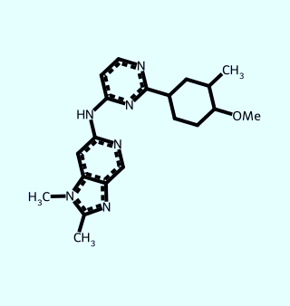 COC1CCC(c2nccc(Nc3cc4c(cn3)nc(C)n4C)n2)CC1C